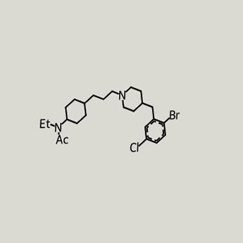 CCN(C(C)=O)C1CCC(CCCN2CCC(Cc3cc(Cl)ccc3Br)CC2)CC1